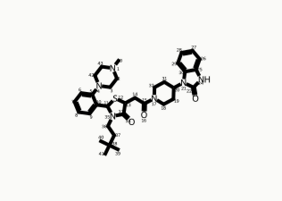 CN1CCN(c2ccccc2C2SC(CC(=O)N3CCC(n4c(=O)[nH]c5ccccc54)CC3)C(=O)N2CCC(C)(C)C)CC1